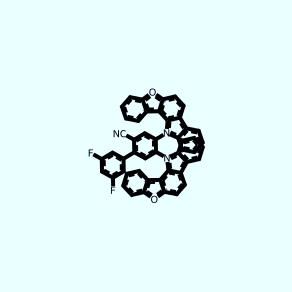 N#Cc1cc(-n2c3ccccc3c3ccc4oc5ccccc5c4c32)c(-n2c3ccccc3c3ccc4oc5ccccc5c4c32)cc1-c1cc(F)cc(F)c1